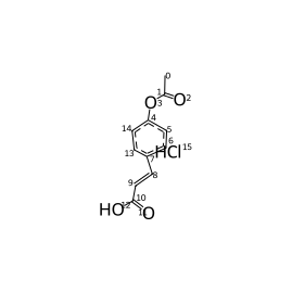 CC(=O)Oc1ccc(C=CC(=O)O)cc1.Cl